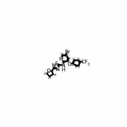 FC(F)(F)c1ccc(Oc2cc(Br)cnc2Nc2nc(C3CCCO3)ns2)cc1